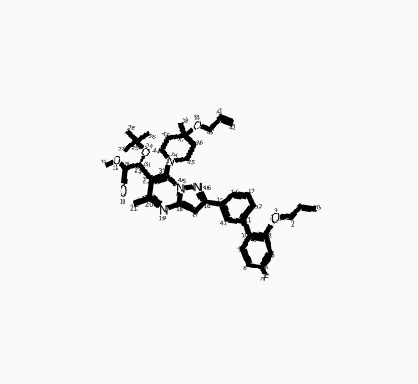 C=CCOc1cc(F)ccc1-c1cccc(-c2cc3nc(C)c([C@H](OC(C)(C)C)C(=O)OC)c(N4CCC(C)(OCC=C)CC4)n3n2)c1